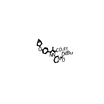 CCOC(=O)c1c(C)c(-c2ccc(OC3CC4CC4C3)cc2)nn1C1CCCN(C(=O)OC(C)(C)C)C1